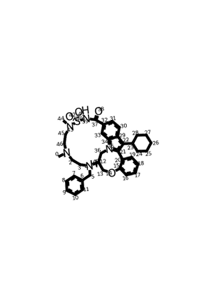 CN1CCN(Cc2ccccc2)[C@H]2COc3ccccc3-c3c(C4CCCCC4)c4ccc(cc4n3C2)C(=O)NS(=O)(=O)N(C)CC1